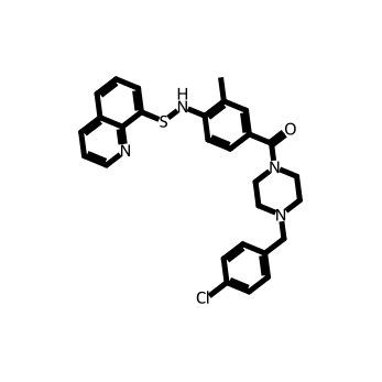 Cc1cc(C(=O)N2CCN(Cc3ccc(Cl)cc3)CC2)ccc1NSc1cccc2cccnc12